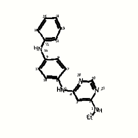 CCNc1cc(Nc2ccc(Nc3ccccc3)cc2)ncn1